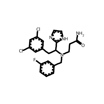 NC(=O)CCN(Cc1cccc(F)c1)C(Cc1cc(Cl)cc(Cl)c1)c1ncc[nH]1